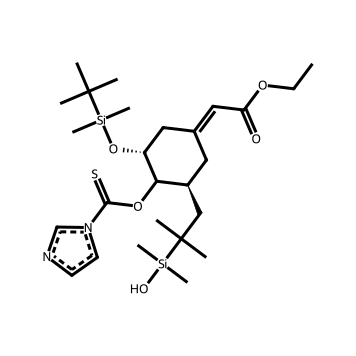 CCOC(=O)/C=C1\C[C@@H](CC(C)(C)[Si](C)(C)O)C(OC(=S)n2ccnc2)[C@H](O[Si](C)(C)C(C)(C)C)C1